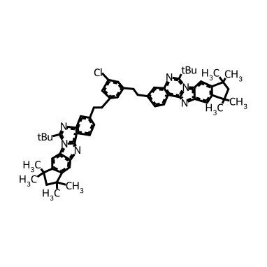 CC(C)(C)c1nc2cc(CCc3cc(Cl)cc(CCc4ccc5c(c4)nc(C(C)(C)C)n4c6cc7c(cc6nc54)C(C)(C)CC7(C)C)c3)ccc2c2nc3cc4c(cc3n12)C(C)(C)CC4(C)C